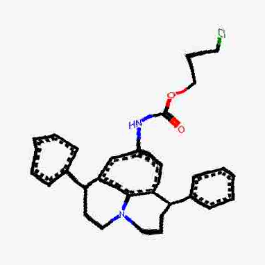 O=C(Nc1cc2c3c(c1)C(c1ccccc1)CCN3CCC2c1ccccc1)OCCCCl